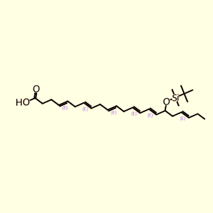 CC/C=C/CC(/C=C/C=C/C/C=C/C/C=C/C/C=C/CCC(=O)O)O[Si](C)(C)C(C)(C)C